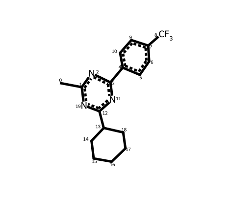 Cc1nc(-c2ccc(C(F)(F)F)cc2)nc(C2CCCCC2)n1